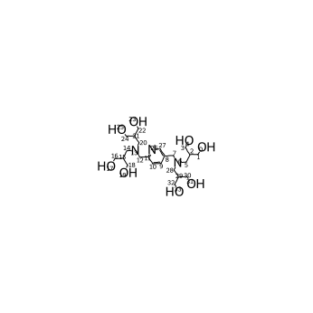 OCC(CO)CN(Cc1ccc(CN(CC(CO)CO)CC(CO)CO)nc1)CC(CO)CO